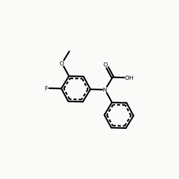 COc1cc(N(C(=O)O)c2ccccc2)ccc1F